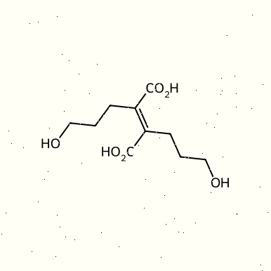 O=C(O)C(CCCO)=C(CCCO)C(=O)O